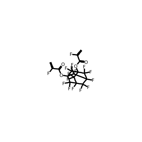 C=C(F)C(=O)OC12C(F)(F)C3(F)C(F)(F)C(F)(C1(F)F)C(F)(F)C(OC(=O)C(=C)F)(C3(F)F)C2(F)F